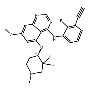 C#Cc1cccc(Nc2ncnc3cc(OC)cc(O[C@@H]4CCN(C)CC4(F)F)c23)c1F